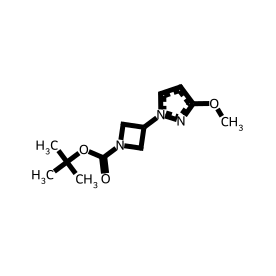 COc1ccn(C2CN(C(=O)OC(C)(C)C)C2)n1